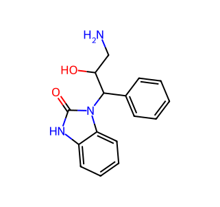 NCC(O)C(c1ccccc1)n1c(=O)[nH]c2ccccc21